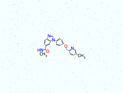 CNC(=O)c1ccc2ncn(-c3ccc(OCc4ccc(C)cn4)cc3)c2c1